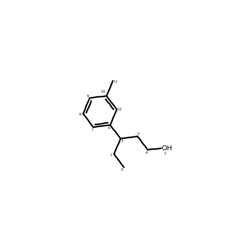 CCC(CCO)c1cccc(C)c1